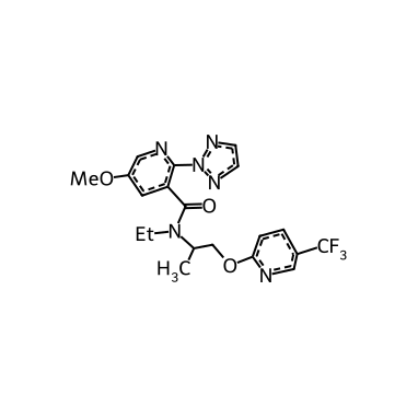 CCN(C(=O)c1cc(OC)cnc1-n1nccn1)C(C)COc1ccc(C(F)(F)F)cn1